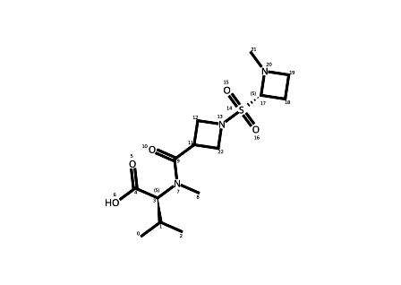 CC(C)[C@@H](C(=O)O)N(C)C(=O)C1CN(S(=O)(=O)[C@H]2CCN2C)C1